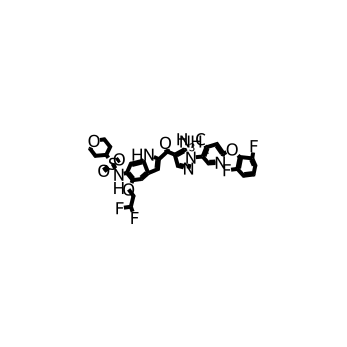 Cc1cc(Oc2c(F)cccc2F)ncc1-n1ncc(C(=O)c2cc3cc(OCC(F)F)c(NS(=O)(=O)C4CCOCC4)cc3[nH]2)c1N